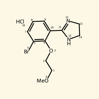 COCCOc1c(Br)cccc1C1=NCCN1.Cl